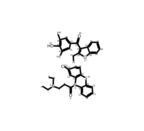 CCN(CC)CCC(=O)N1c2ccccc2Sc2ccc(Cl)cc21.CCc1oc2ccccc2c1C(=O)c1cc(I)c(O)c(I)c1